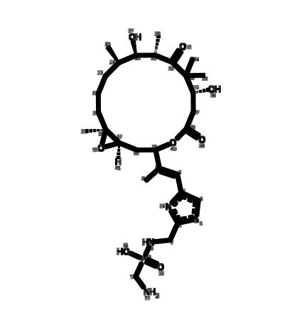 C/C(=C\c1csc(CNP(=O)(O)CN)n1)C1C[C@H]2O[C@@]2(C)CCC[C@@H](C)[C@@H](O)[C@H](C)C(=O)C(C)(C)[C@H](O)CC(=O)O1